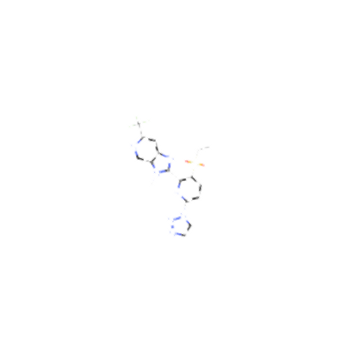 CCS(=O)(=O)c1ccc(-n2ccnn2)nc1-c1nc2cc(C(F)(F)F)ncc2n1C